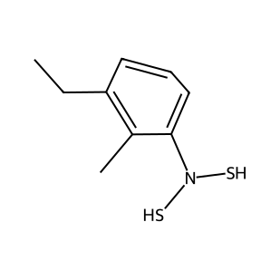 CCc1cccc(N(S)S)c1C